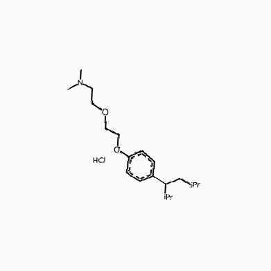 CC(C)CC(c1ccc(OCCOCCN(C)C)cc1)C(C)C.Cl